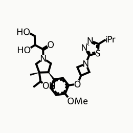 COc1ccc([C@@H]2CN(C(=O)C(O)CO)C[C@@]2(C)C(C)O)cc1OC1CN(c2nnc(C(C)C)s2)C1